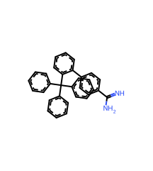 N=C(N)c1ccc(-c2ccccc2C(c2ccccc2)(c2ccccc2)c2ccccc2)cc1